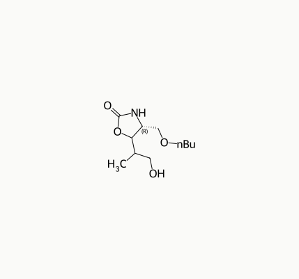 CCCCOC[C@H]1NC(=O)OC1C(C)CO